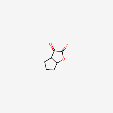 O=C1OC2CCCC2C1=O